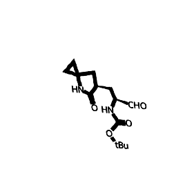 CC(C)(C)OC(=O)N[C@H](C=O)C[C@@H]1CC2(CC2)NC1=O